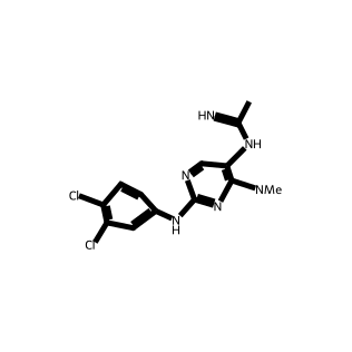 CNc1nc(Nc2ccc(Cl)c(Cl)c2)ncc1NC(C)=N